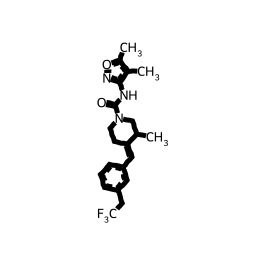 Cc1onc(NC(=O)N2CC/C(=C\c3cccc(CC(F)(F)F)c3)C(C)C2)c1C